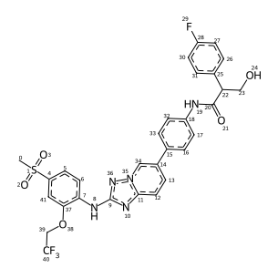 CS(=O)(=O)c1ccc(Nc2nc3ccc(-c4ccc(NC(=O)C(CO)c5ccc(F)cc5)cc4)cn3n2)c(OCC(F)(F)F)c1